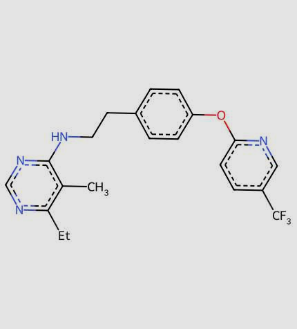 CCc1ncnc(NCCc2ccc(Oc3ccc(C(F)(F)F)cn3)cc2)c1C